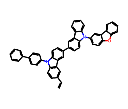 C=Cc1ccc2c(c1)c1cc(-c3ccc4c(c3)c3ccccc3n4-c3ccc4oc5ccccc5c4c3)ccc1n2-c1ccc(-c2ccccc2)cc1